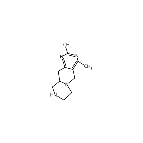 Cc1nc(C)c2c(n1)CC1CNCCN1C2